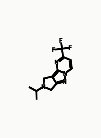 CC(C)N1Cc2nn3ccc(C(F)(F)F)nc3c2C1